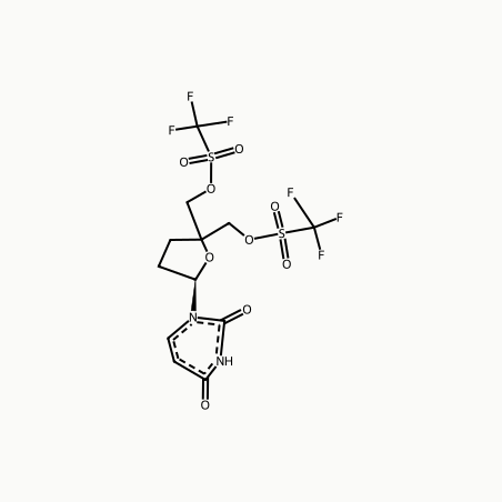 O=c1ccn([C@H]2CCC(COS(=O)(=O)C(F)(F)F)(COS(=O)(=O)C(F)(F)F)O2)c(=O)[nH]1